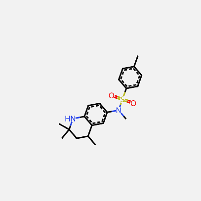 Cc1ccc(S(=O)(=O)N(C)c2ccc3c(c2)C(C)CC(C)(C)N3)cc1